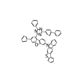 c1ccc(-c2ccc(-c3nc(-c4ccccc4)nc(-c4cc(-c5ccccc5)cc5oc6cc(-n7c8ccccc8c8cc9c(cc87)sc7ccccc79)ccc6c45)n3)cc2)cc1